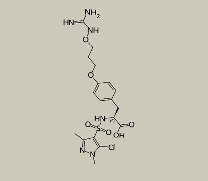 Cc1nn(C)c(Cl)c1S(=O)(=O)N[C@@H](Cc1ccc(OCCCONC(=N)N)cc1)C(=O)O